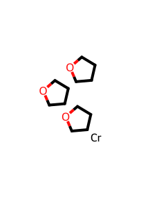 C1CCOC1.C1CCOC1.C1CCOC1.[Cr]